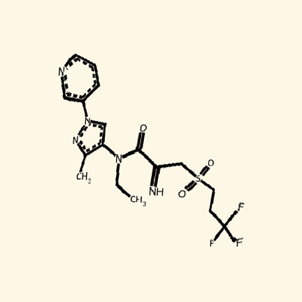 CCN(C(=O)C(=N)CS(=O)(=O)CCC(F)(F)F)c1cn(-c2cccnc2)nc1C